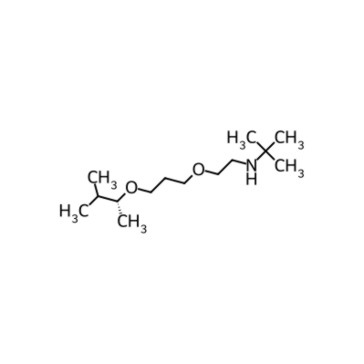 CC(C)[C@@H](C)OCCCOCCNC(C)(C)C